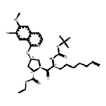 C=CCCCCC[C@H](NC(=O)OC(C)(C)C)C(=O)N1C[C@H](Oc2nccc3cc(OC)c(Br)cc23)C[C@H]1C(=O)OCC